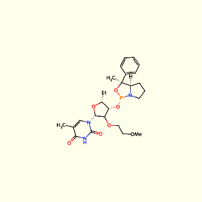 CC[C@H]1O[C@@H](n2cc(C)c(=O)[nH]c2=O)C(OCCOC)[C@H]1O[P@]1O[C@@](C)(c2ccccc2)[C@H]2CCCN21